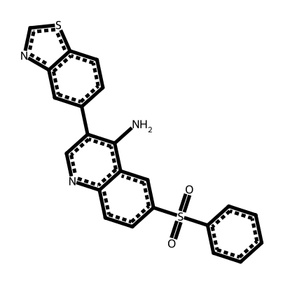 Nc1c(-c2ccc3scnc3c2)cnc2ccc(S(=O)(=O)c3ccccc3)cc12